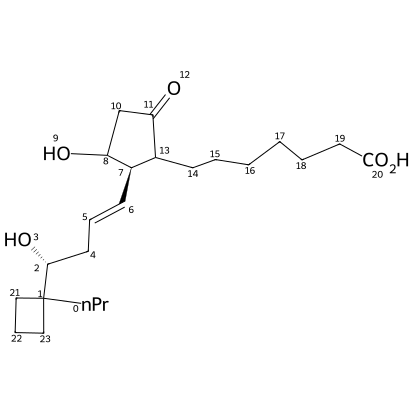 CCCC1([C@H](O)C/C=C/[C@H]2C(O)CC(=O)C2CCCCCCC(=O)O)CCC1